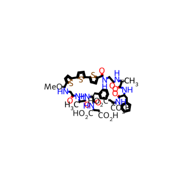 COC(NCC(=O)NC(C)C(=O)N[C@@H](Cc1ccccc1)C(=O)NC(CC(=O)O)C(=O)O)c1ccc(-c2ccc(-c3ccc(C(=O)NCC(=O)N[C@@H](C)C(=O)NC(Cc4ccccc4)C(=O)N[C@@H](CC(=O)O)C(=O)O)s3)s2)s1